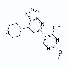 COc1ncc(-c2cc(C3CCOCC3)c3nccn3n2)c(OC)n1